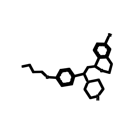 CCCCOc1ccc(C(CC2OCCc3cc(Br)ccc32)N2CCNCC2)cc1